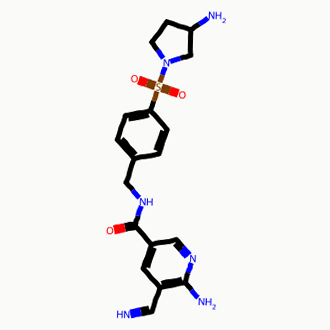 N=Cc1cc(C(=O)NCc2ccc(S(=O)(=O)N3CCC(N)C3)cc2)cnc1N